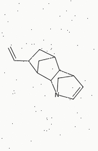 C=CC1CC2CC1C1C2C2C=CN1C2